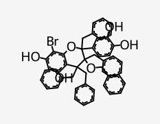 Oc1ccc(C2(Cc3ccccc3)Oc3c(Br)c(O)cc(O)c3C(Cc3ccccc3)(Cc3ccccc3)C2(Cc2ccccc2)OCc2ccccc2)cc1O